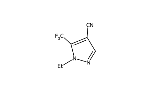 CCn1ncc(C#N)c1C(F)(F)F